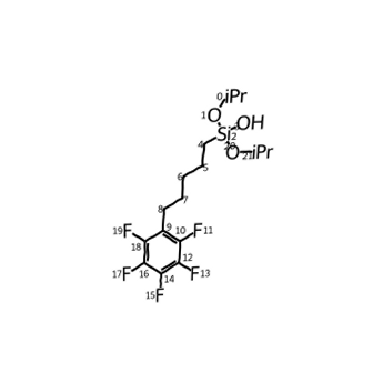 CC(C)O[Si](O)(CCCCCc1c(F)c(F)c(F)c(F)c1F)OC(C)C